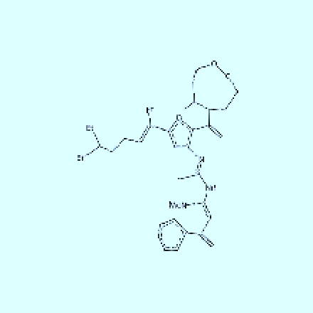 C=C(/C=C(\NC)N/C(C)=N/c1cc(/C(=C/CCC(CC)CC)CC)oc1C(=C)C1CCCOCCC1C)c1ccccc1